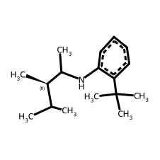 CC(C)[C@@H](C)C(C)Nc1ccccc1C(C)(C)C